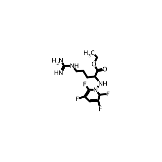 CCOC(=O)C(CCCNC(=N)N)NN1C(F)=C(F)C=C(F)C1F